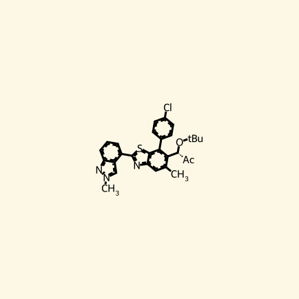 CC(=O)[C@@H](OC(C)(C)C)c1c(C)cc2nc(-c3cccc4nn(C)cc34)sc2c1-c1ccc(Cl)cc1